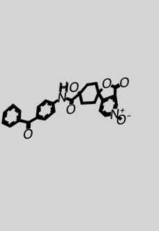 O=C(c1ccccc1)c1ccc(NC(=O)C2(O)CCC3(CC2)OC(=O)c2c[n+]([O-])ccc23)cc1